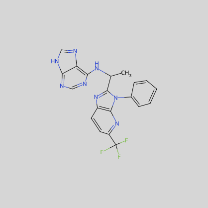 CC(Nc1ncnc2[nH]cnc12)c1nc2ccc(C(F)(F)F)nc2n1-c1ccccc1